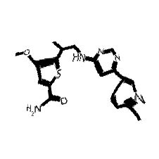 COc1cc(C(N)=O)sc1C(C)CNc1cc(-c2ccc(C)nc2)ncn1